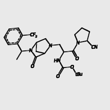 CC(c1ccccc1C(F)(F)F)N1C(=O)C2CC1CN2CC(NC(=O)OC(C)(C)C)C(=O)N1CCCC1C#N